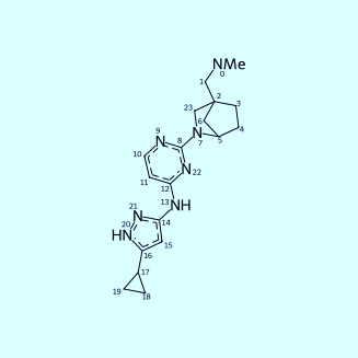 CNCC12CCC(C1)N(c1nccc(Nc3cc(C4CC4)[nH]n3)n1)C2